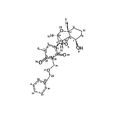 Cc1cn([C@@H]2OC34[C@H](O)CCC[C@H]3O[C@H]2[C@H]4C)c(=O)n(COCc2ccccc2)c1=O